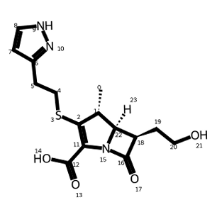 C[C@H]1C(SCCc2cc[nH]n2)=C(C(=O)O)N2C(=O)[C@H](CCO)[C@H]12